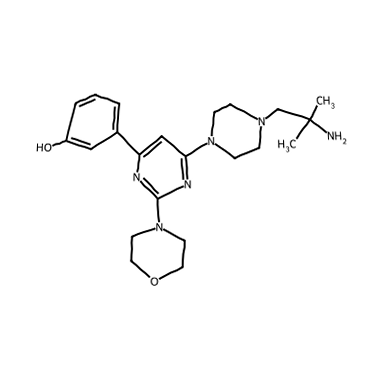 CC(C)(N)CN1CCN(c2cc(-c3cccc(O)c3)nc(N3CCOCC3)n2)CC1